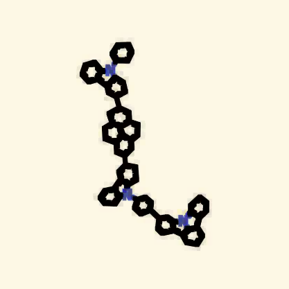 c1ccc(-n2c3ccccc3c3cc(-c4cc5ccc6cc(-c7ccc8c(c7)c7ccccc7n8-c7ccc(-c8ccc9c%10cccc%11c%12ccccc%12n(c9c8)c%11%10)cc7)cc7ccc(c4)c5c67)ccc32)cc1